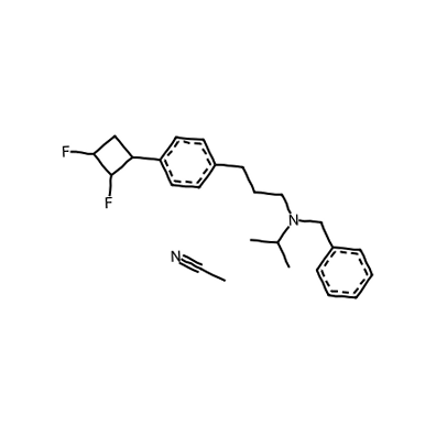 CC#N.CC(C)N(CCCc1ccc(C2CC(F)C2F)cc1)Cc1ccccc1